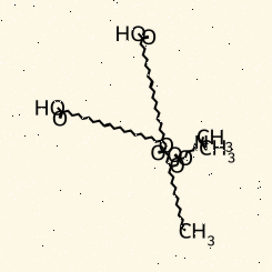 CCCCCCCCCCCCC(CCC(=O)OC(CCCCCCCCCC=CCCCCCCCC(=O)O)CCCCCCCCCC=CCCCCCCCC(=O)O)OC(=O)OCCCN(C)C